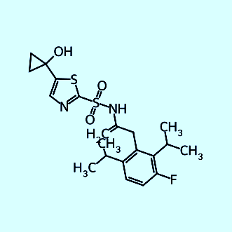 C=C(Cc1c(C(C)C)ccc(F)c1C(C)C)NS(=O)(=O)c1ncc(C2(O)CC2)s1